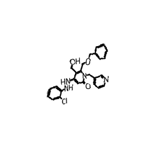 O=c1cc(NNc2ccccc2Cl)c(CO)c(COCc2ccccc2)n1Cc1cccnc1